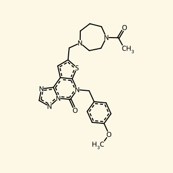 COc1ccc(Cn2c(=O)n3ncnc3c3cc(CN4CCCN(C(C)=O)CC4)sc32)cc1